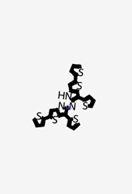 c1csc(C2=c3sc(-c4cccs4)cc3=N/C2=N\c2[nH]c3cc(-c4cccs4)sc3c2-c2cccs2)c1